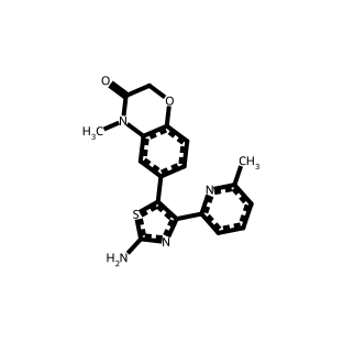 Cc1cccc(-c2nc(N)sc2-c2ccc3c(c2)N(C)C(=O)CO3)n1